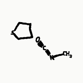 C1CCSC1.CN=C=O